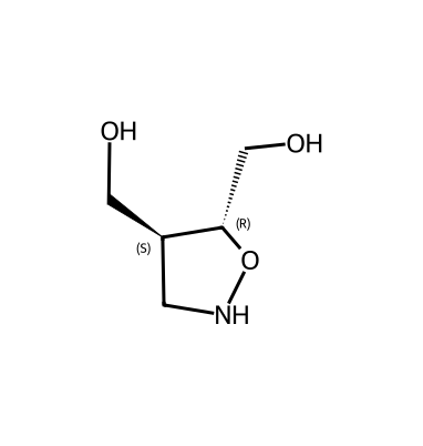 OC[C@@H]1CNO[C@H]1CO